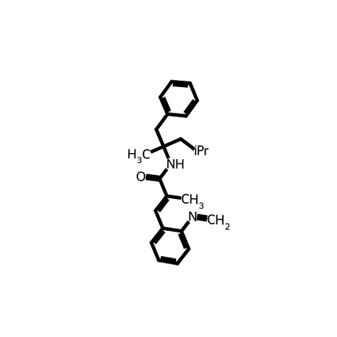 C=Nc1ccccc1/C=C(\C)C(=O)NC(C)(Cc1ccccc1)CC(C)C